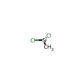 C[Si](Cl)Cl